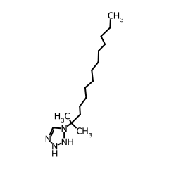 CCCCCCCCCCCCC(C)(C)N1C=NNN1